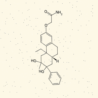 CCC12CC(C)(O)C(O)(c3ccccc3)C[C@H]1CCc1cc(OCC(N)=O)ccc12